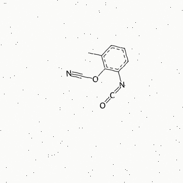 Cc1cccc(N=C=O)c1OC#N